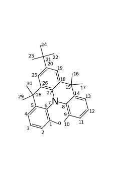 Cc1cccc2c1N1c3c(C)cccc3C(C)(C)c3cc(C(C)(C)C)cc(c31)C2(C)C